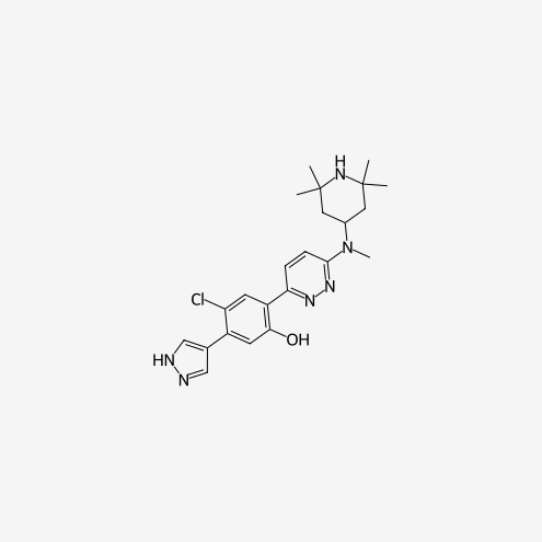 CN(c1ccc(-c2cc(Cl)c(-c3cn[nH]c3)cc2O)nn1)C1CC(C)(C)NC(C)(C)C1